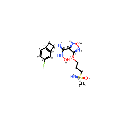 C[S@@](=N)(=O)CCCOc1nonc1C(=N[C@H]1Cc2ccc(F)cc21)NO